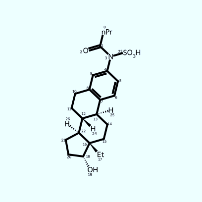 CCCC(=O)N(c1ccc2c(c1)CC[C@@H]1[C@@H]2CC[C@]2(CC)[C@H](O)CC[C@@H]12)S(=O)(=O)O